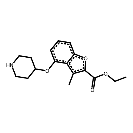 CCOC(=O)c1oc2cccc(OC3CCNCC3)c2c1C